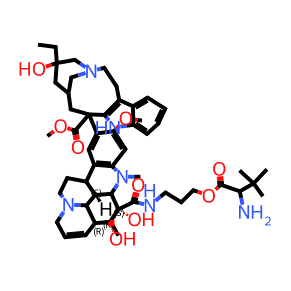 CCC1(O)CC2CN(CCc3c([nH]c4ccccc34)C(C(=O)OC)(c3cc4c(cc3OC)N(C)C3[C@H]5C4CCN4CC=C[C@](CC)(C54)[C@@H](O)[C@]3(O)C(=O)NCCCOC(=O)C(N)C(C)(C)C)C2)C1